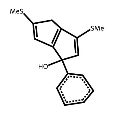 CSC1=CC2=C(C1)C(SC)=CC2(O)c1ccccc1